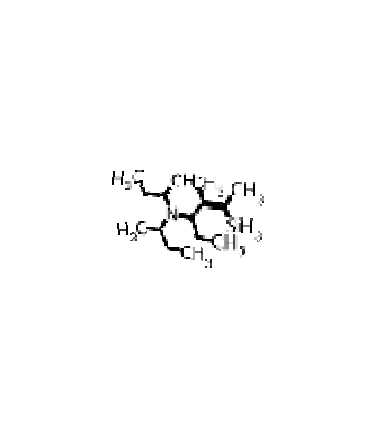 CCC(C)N(C(C)CC)C(CC)C(C)=C(C)[SiH3]